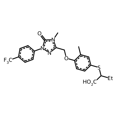 CCC(Sc1ccc(OCc2nn(-c3ccc(C(F)(F)F)cc3)c(=O)n2C)c(C)c1)C(=O)O